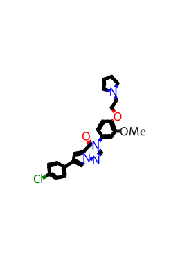 COc1cc(-n2cnn3cc(-c4ccc(Cl)cc4)cc3c2=O)ccc1OCCN1CCCC1